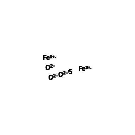 [Fe+3].[Fe+3].[O-2].[O-2].[O-2].[S]